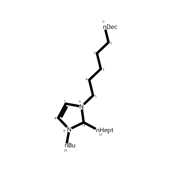 CCCCCCCCCCCCCCCN1C=CN(CCCC)C1CCCCCCC